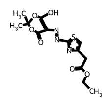 CCOC(=O)Cc1csc(N=NC2=C(O)OC(C)(C)OC2=O)n1